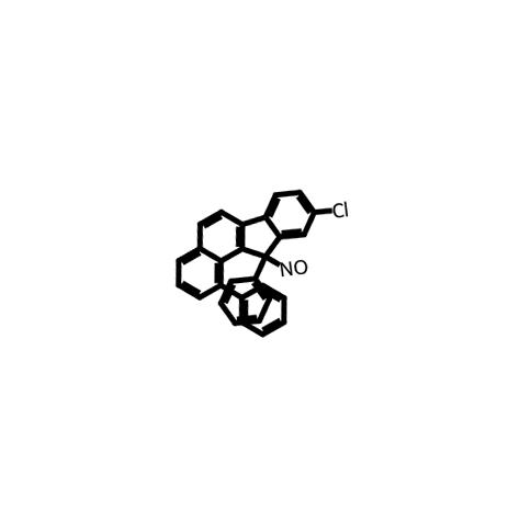 O=NC1(c2ccccc2)c2cc(Cl)ccc2-c2ccc3cccc(-c4ccccc4)c3c21